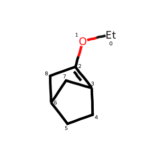 CCOC1=C2CCC(C2)C1